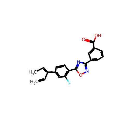 C=C/C(=C\C)c1ccc(-c2nc(-c3cccc(C(=O)O)c3)no2)c(F)c1